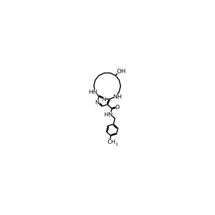 Cc1ccc(CNC(=O)c2cnc3nc2NCCCC(O)CCCCCN3)cc1